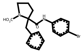 O=C(O)N1CCCC1(Cc1ccccc1)C(=O)Nc1ccc(Br)cc1